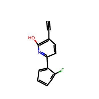 C#Cc1ccc(-c2ccccc2F)nc1O